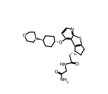 NC(=O)CNC(=O)C[C@H]1CCc2sc3nccc(O[C@H]4CC[C@H](N5CCOCC5)CC4)c3c21